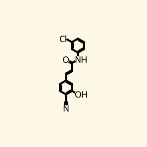 N#Cc1ccc(C=CC(=O)Nc2cccc(Cl)c2)cc1O